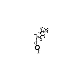 C=N/C(NC1(C)CC1)=C(\C)C(C(=O)N(CC)CCOc1ccc(OC)cc1)=C(C)C